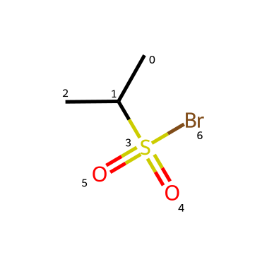 CC(C)S(=O)(=O)Br